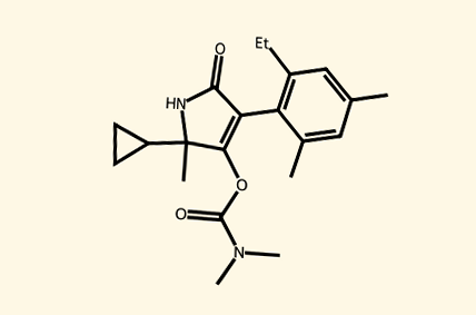 CCc1cc(C)cc(C)c1C1=C(OC(=O)N(C)C)C(C)(C2CC2)NC1=O